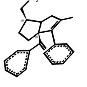 C=C(c1ccccc1)[C@@]12CC[C@@H](CN)C1CC(C)=C2c1ccccc1